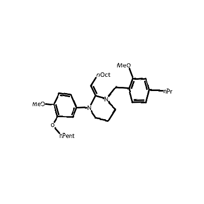 CCCCCCCCC=C1N(Cc2ccc(CCC)cc2OC)CCCN1c1ccc(OC)c(OCCCCC)c1